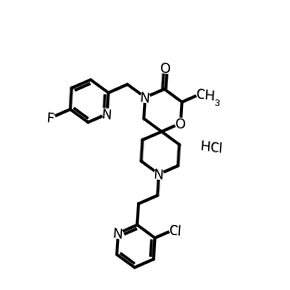 CC1OC2(CCN(CCc3ncccc3Cl)CC2)CN(Cc2ccc(F)cn2)C1=O.Cl